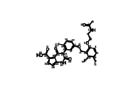 CC(=O)NCCOc1ccc(F)c(F)c1COc1ccc(F)c(-n2c(=O)[nH]c3csc(C(=O)O)c3c2=O)c1